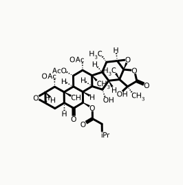 CC(=O)O[C@H]1[C@H]2[C@H]([C@@H]3[C@@H](O)[C@@H]4[C@H]([C@H](C)[C@H]5O[C@]56OC(=O)[C@@](C)(O)[C@]46C)[C@@]3(C)[C@H]1OC(C)=O)[C@@H](OC(=O)CC(C)C)C(=O)[C@H]1C[C@@H]3O[C@@H]3[C@H](OC(C)=O)[C@]21C